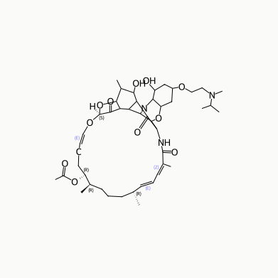 CC(=O)O[C@@H]1CC/C=C/O[C@H]2OC3C(C)C(O)C4C(=O)C(NC(=O)/C(C)=C\C=C\[C@H](C)CCC[C@H]1C)C1OC5CC(OCCN(C)C(C)C)CC(O)C5N=C1C4C3C2=O